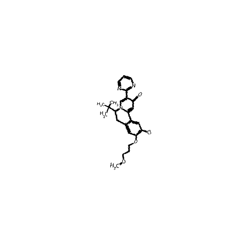 COCCCOc1cc2c(cc1Cl)-c1cc(=O)c(-c3ncccn3)cn1C(C(C)(C)C)C2